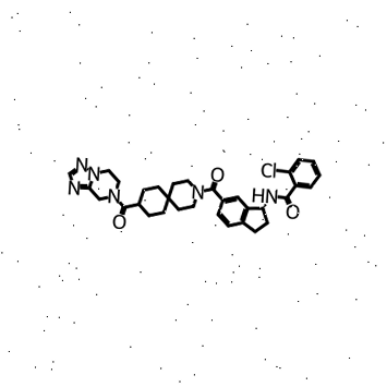 O=C(N[C@@H]1CCc2ccc(C(=O)N3CCC4(CCC(C(=O)N5CCn6ncnc6C5)CC4)CC3)cc21)c1ccccc1Cl